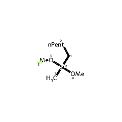 CCCCCC[Si](C)(OC)OC.F